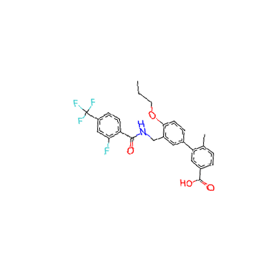 CCCOc1ccc(-c2cc(C(=O)O)ccc2C)cc1CNC(=O)c1ccc(C(F)(F)F)cc1F